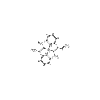 C=C/C=C(\C)[Si](/C(C)=C/C)(c1ccccc1)c1ccccc1